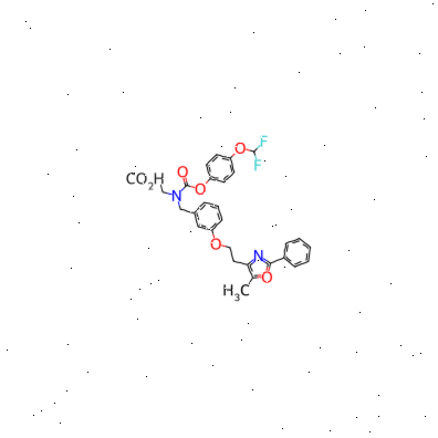 Cc1oc(-c2ccccc2)nc1CCOc1cccc(CN(CC(=O)O)C(=O)Oc2ccc(OC(F)F)cc2)c1